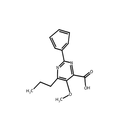 CCCc1nc(-c2ccccc2)nc(C(=O)O)c1OC